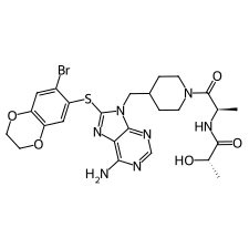 C[C@H](O)C(=O)N[C@H](C)C(=O)N1CCC(Cn2c(Sc3cc4c(cc3Br)OCCO4)nc3c(N)ncnc32)CC1